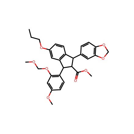 CCCOc1ccc2c(c1)C(c1ccc(OC)cc1OCOC)C(C(=O)OC)C2c1ccc2c(c1)OCO2